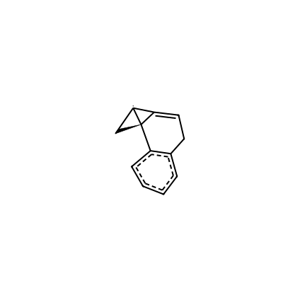 C1=C2[C]3C[C@@]32c2ccccc2C1